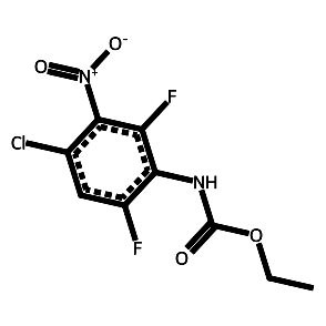 CCOC(=O)Nc1c(F)cc(Cl)c([N+](=O)[O-])c1F